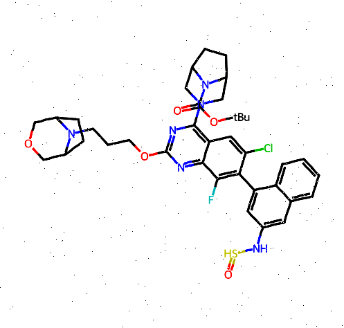 CC(C)(C)OC(=O)N1C2CCC1CN(c1nc(OCCCN3C4CCC3COC4)nc3c(F)c(-c4cc(N[SH]=O)cc5ccccc45)c(Cl)cc13)C2